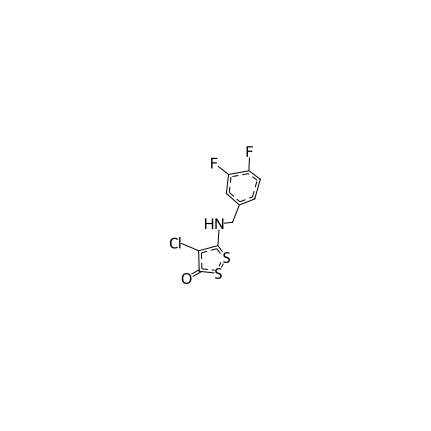 O=c1ssc(NCc2ccc(F)c(F)c2)c1Cl